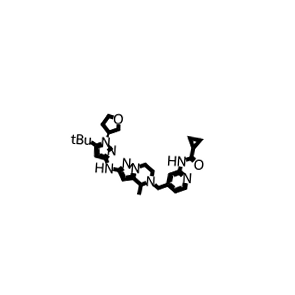 CC1c2cc(Nc3cc(C(C)(C)C)n([C@H]4CCOC4)n3)nn2CCN1Cc1ccnc(NC(=O)C2CC2)c1